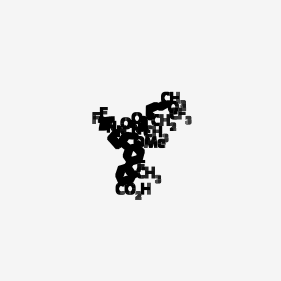 C=C(/C=C\C=C(/C)OC(F)(F)F)[C@H]1OC(=O)N(Cc2nc(N3CC(F)(F)C3)ccc2-c2cc(-c3ccc(C(=O)O)cc3C)c(F)cc2OC)[C@H]1C